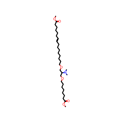 COC(=O)CCCCC/C=C/CCCCCCCCOCC(COCCCCCCCC(=O)OC)N(C)C